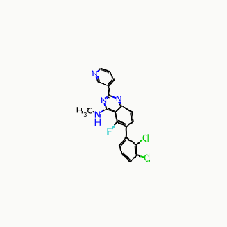 CNc1nc(-c2cccnc2)nc2ccc(-c3cccc(Cl)c3Cl)c(F)c12